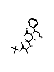 CC(=O)N(C(CO)c1ccccc1)[C@@H](C)C(=O)NC(C)C(=O)OC(C)(C)C